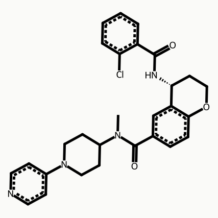 CN(C(=O)c1ccc2c(c1)[C@H](NC(=O)c1ccccc1Cl)CCO2)C1CCN(c2ccncc2)CC1